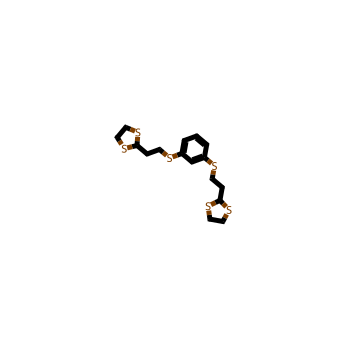 c1cc(SCCC2SCCS2)cc(SCCC2SCCS2)c1